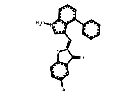 Cn1cc(C=C2Oc3ccc(Br)cc3C2=O)c2c(-c3ccccc3)cccc21